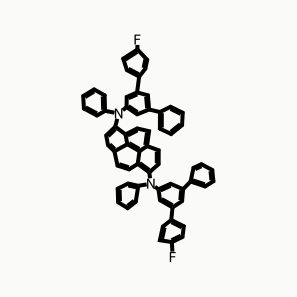 Fc1ccc(-c2cc(-c3ccccc3)cc(N(c3ccccc3)c3ccc4ccc5c(N(c6ccccc6)c6cc(-c7ccccc7)cc(-c7ccc(F)cc7)c6)ccc6ccc3c4c65)c2)cc1